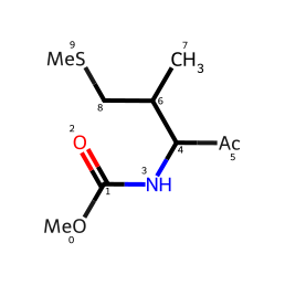 COC(=O)NC(C(C)=O)C(C)CSC